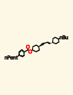 CCCCCc1ccc(C(=O)O[C@H]2CC[C@H](C#CC=C[C@H]3CC[C@H](CCCC)CC3)CC2)cc1